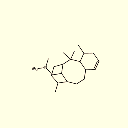 CCC(C)N(C)CC1C2CCC3C=CCC(C)C3C(C)(C)C1CCC2C